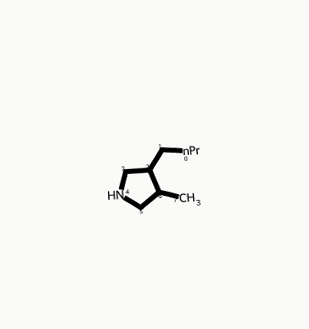 CCCCC1CNCC1C